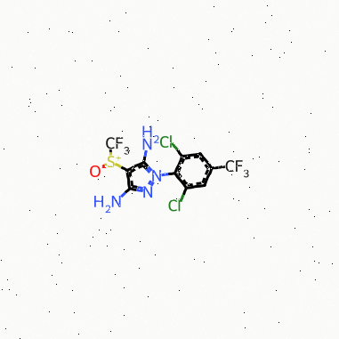 Nc1nn(-c2c(Cl)cc(C(F)(F)F)cc2Cl)c(N)c1[S+]([O-])C(F)(F)F